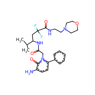 CC(C)C(CC(F)(F)C(=O)NCCN1CCOCC1)NC(=O)Cn1c(-c2ccccc2)ccc(N)c1=O